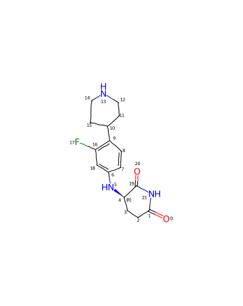 O=C1CC[C@@H](Nc2ccc(C3CCNCC3)c(F)c2)C(=O)N1